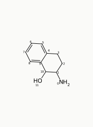 NC1CCc2ccccc2C1O